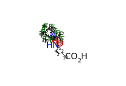 O=C(O)CC/C=C\CNS(=O)(=O)C(F)(F)C(F)(F)N1C(F)(F)C(F)(F)C(F)(F)C(F)(F)C1(F)F